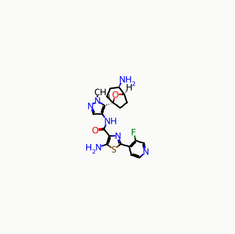 Cn1ncc(NC(=O)c2nc(-c3ccncc3F)sc2N)c1[C@@]12CC[C@@H](N)[C@@H](CC1)O2